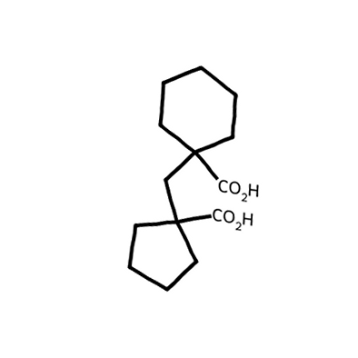 O=C(O)C1(CC2(C(=O)O)CCCC2)CCCCC1